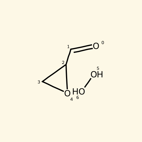 O=CC1CO1.OO